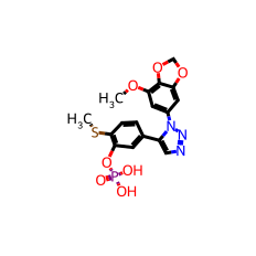 COc1cc(-n2nncc2-c2ccc(SC)c(OP(=O)(O)O)c2)cc2c1OCO2